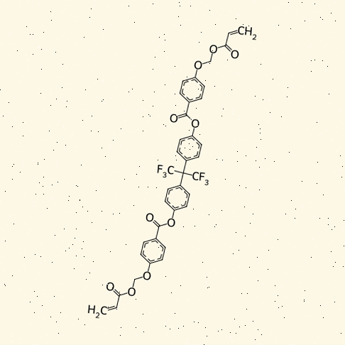 C=CC(=O)OCOc1ccc(C(=O)Oc2ccc(C(c3ccc(OC(=O)c4ccc(OCOC(=O)C=C)cc4)cc3)(C(F)(F)F)C(F)(F)F)cc2)cc1